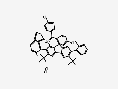 Cc1ccccc1-c1cc2c(cc1C(C)(C)C)-c1cc(C(C)(C)C)c(-c3ccccc3C)[c]([Zr+2]([C]3=CC=CC3)=[C](c3ccc(Cl)cc3)c3ccc(Cl)cc3)c1C2.[Cl-].[Cl-]